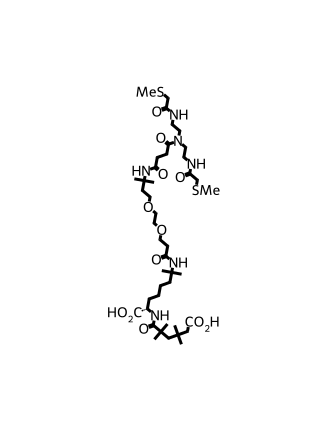 CSCC(=O)NCCN(CCNC(=O)CSC)C(=O)CCC(=O)NC(C)(C)CCOCCOCCC(=O)NC(C)(C)CCCC[C@H](NC(=O)C(C)(C)CC(C)(C)CC(=O)O)C(=O)O